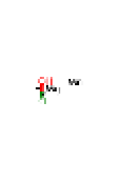 OCl.[MgH2].[Mn]